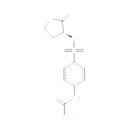 CCCCCCCCC(=O)Nc1ccc(S(=O)(=O)N[C@H]2CCOC2=O)cc1